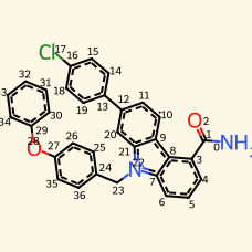 NC(=O)c1cccc2c1c1[c]cc(-c3ccc(Cl)cc3)cc1n2Cc1ccc(Oc2ccccc2)cc1